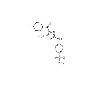 CC1CCC(C(=O)n2nc(Nc3ccc(S(N)(=O)=O)cc3)nc2N)CC1